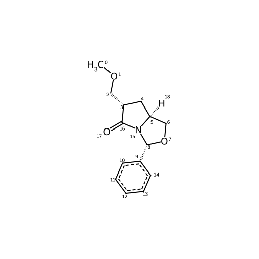 COC[C@@H]1C[C@H]2CO[C@H](c3ccccc3)N2C1=O